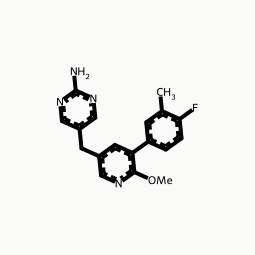 COc1ncc(Cc2cnc(N)nc2)cc1-c1ccc(F)c(C)c1